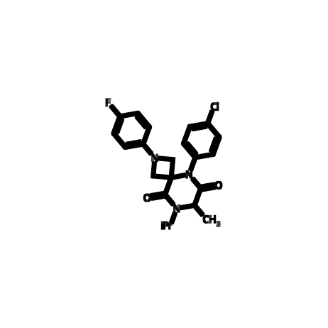 CC(C)N1C(=O)C2(CN(c3ccc(F)cc3)C2)N(c2ccc(Cl)cc2)C(=O)C1C